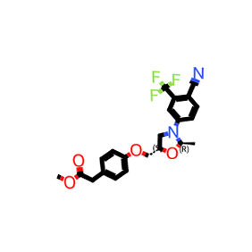 COC(=O)Cc1ccc(OC[C@@H]2CN(c3ccc(C#N)c(C(F)(F)F)c3)[C@@H](C)O2)cc1